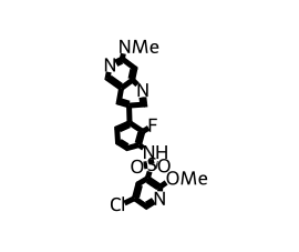 CNc1cc2ncc(-c3cccc(NS(=O)(=O)c4cc(Cl)cnc4OC)c3F)cc2cn1